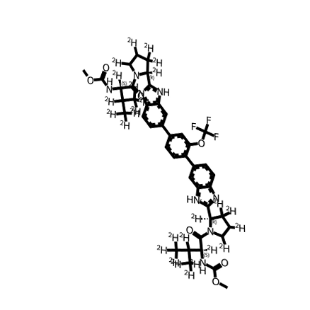 [2H]C1C([2H])C([2H])([2H])[C@]([2H])(c2nc3ccc(-c4ccc(-c5ccc6nc([C@]7([2H])N(C(=O)[C@@]([2H])(NC(=O)OC)C([2H])(C([2H])([2H])[2H])C([2H])([2H])[2H])C([2H])C([2H])C7([2H])[2H])[nH]c6c5)c(OC(F)(F)F)c4)cc3[nH]2)N1C(=O)[C@@]([2H])(NC(=O)OC)C([2H])(C([2H])([2H])[2H])C([2H])([2H])[2H]